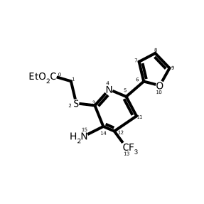 CCOC(=O)CSc1nc(-c2ccco2)cc(C(F)(F)F)c1N